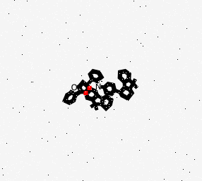 CC1(C)c2ccccc2-c2c(-c3ccc(N(c4ccccc4-c4ccc5c(c4)oc4ccccc45)c4cccc5c4-c4ccccc4C5(C)C)cc3)cccc21